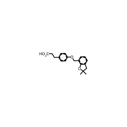 CC1(C)Cc2cccc(COc3ccc(CCC(=O)O)cc3)c2O1